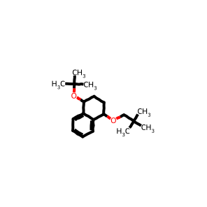 CC(C)(C)COC1CCC(OC(C)(C)C)c2ccccc21